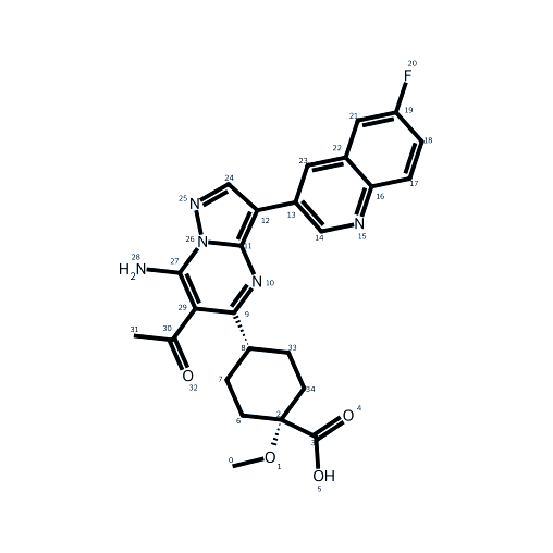 CO[C@]1(C(=O)O)CC[C@H](c2nc3c(-c4cnc5ccc(F)cc5c4)cnn3c(N)c2C(C)=O)CC1